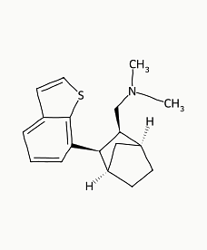 CN(C)C[C@H]1[C@H]2CC[C@H](C2)[C@H]1c1cccc2ccsc12